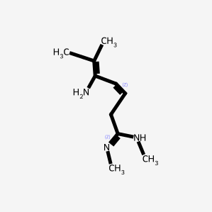 C/N=C(/C/C=C\C(N)=C(C)C)NC